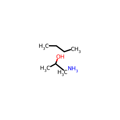 CC(C)O.CCCC.N